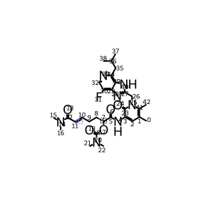 Cc1cc(NC(=O)[C@H](CC/C=C/C(=O)N(C)C)OC(=O)N(C)C)c(=O)n(Cc2nc3c(F)cnc(CC(C)C)c3[nH]2)c1C